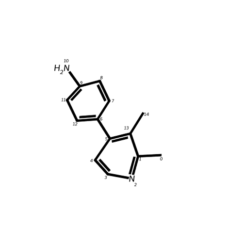 Cc1nccc(-c2ccc(N)cc2)c1C